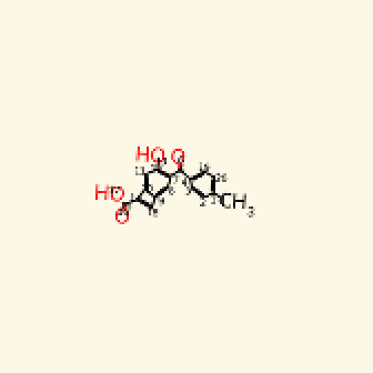 Cc1ccc(C(=O)c2cc3c(cc2O)C(C(=O)O)=C3)cc1